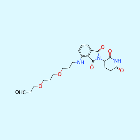 O=CCCOCCCOCCCNc1cccc2c1C(=O)N(C1CCC(=O)NC1=O)C2=O